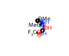 COc1ccccc1-c1n[nH]c2nc(N(O)C3CCC(NS(=O)(=O)CCC(F)(F)F)CC3)nc(OC)c12